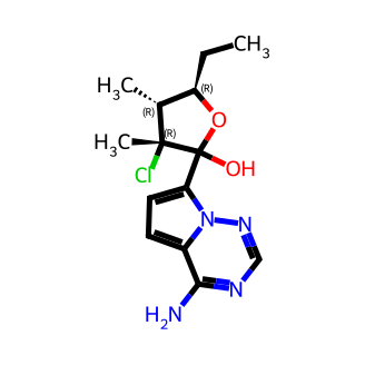 CC[C@H]1OC(O)(c2ccc3c(N)ncnn23)[C@](C)(Cl)[C@@H]1C